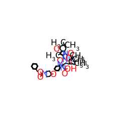 CCCCC(NC(=O)c1c(C)c2c(n1C(=O)OC(C)(C)C)CC(C)(C)CC2=O)c1nc2ccc(OC3CCN(C(=O)OCc4ccccc4)CC3)cc2n1C(=O)O